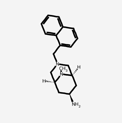 CN1[C@@H]2C[C@@H](N)C[C@H]1CN(Cc1cccc3ccccc13)C2